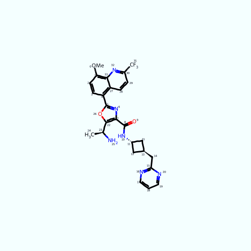 COc1ccc(-c2nc(C(=O)N[C@H]3C[C@H](Cc4ncccn4)C3)c([C@H](C)N)o2)c2ccc(C(F)(F)F)nc12